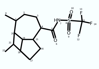 CC1CCC(C(=O)NS(=O)(=O)C(F)(F)F)C2CC3CC2C1C3C